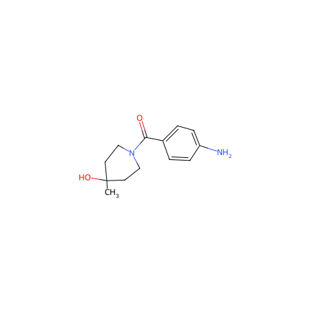 CC1(O)CCN(C(=O)c2ccc(N)cc2)CC1